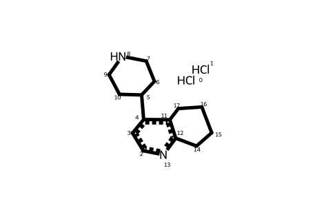 Cl.Cl.c1cc(C2CCNCC2)c2c(n1)CCCC2